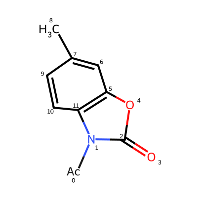 CC(=O)n1c(=O)oc2cc(C)ccc21